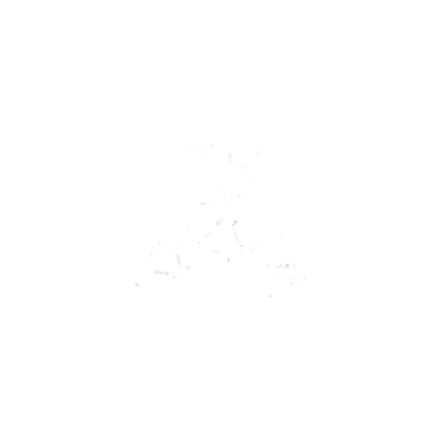 Cc1ccc(Oc2ccc(C(=O)CNC(C)(C)C)cc2Oc2ccc(C)cc2)cc1.Cl